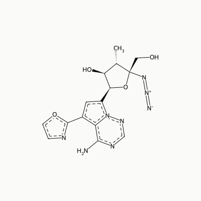 C[C@H]1[C@H](O)[C@H](c2cc(-c3ncco3)c3c(N)ncnn23)O[C@@]1(CO)N=[N+]=[N-]